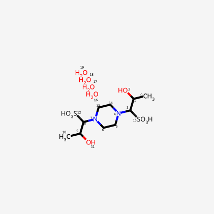 CC(O)C(N1CCN(C(C(C)O)S(=O)(=O)O)CC1)S(=O)(=O)O.O.O.O.O